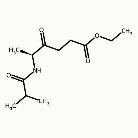 CCOC(=O)CCC(=O)[C@H](C)NC(=O)C(C)C